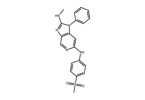 CNc1nc2cnc(Nc3ccc(S(C)(=O)=O)cc3)cc2n1-c1ccccc1